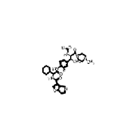 CCC(=O)N[C@@H](C(=O)N1CCN(C)CC1)[C@@H](C)c1ccc(NC(=O)[C@@H](NC(=O)c2coc3ccncc23)C2CCCCC2)c(F)c1